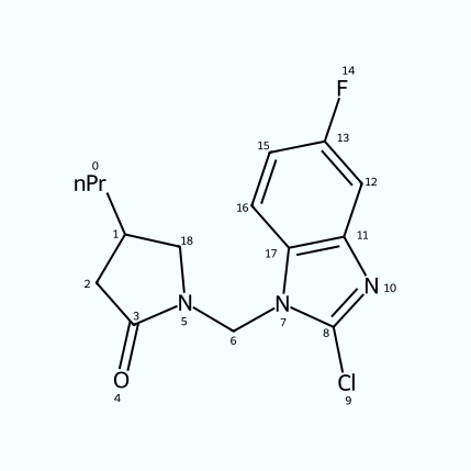 CCCC1CC(=O)N(Cn2c(Cl)nc3cc(F)ccc32)C1